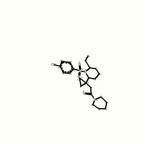 CCC1CCCC(C2(CC(=O)N3CCCCC3)CC2)N1S(=O)(=O)c1ccc(Cl)cc1